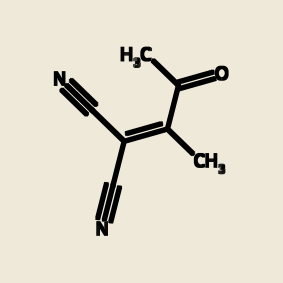 CC(=O)C(C)=C(C#N)C#N